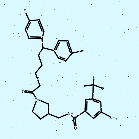 Cc1cc(C(=O)NCC2CCN(C(=O)CCCCC(c3ccc(F)cc3)c3ccc(F)cc3)C2)cc(C(F)(F)F)c1